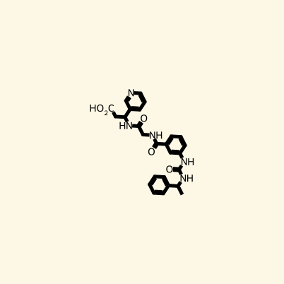 CC(NC(=O)Nc1cccc(C(=O)NCC(=O)NC(CC(=O)O)c2cccnc2)c1)c1ccccc1